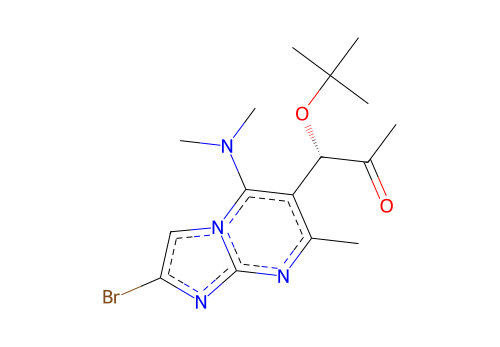 CC(=O)[C@@H](OC(C)(C)C)c1c(C)nc2nc(Br)cn2c1N(C)C